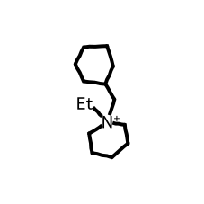 CC[N+]1(CC2CCCCC2)CCCCC1